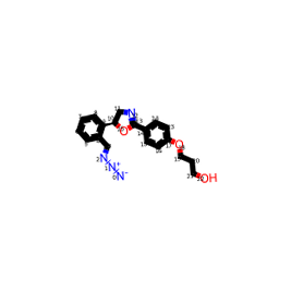 [N-]=[N+]=NCc1ccccc1[C@H]1CN=C(c2ccc(OCCCO)cc2)O1